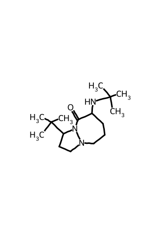 CC(C)(C)NC1CCCN2CCC(C(C)(C)C)N2C1=O